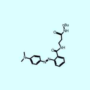 CCCCNC(=O)CCNC(=O)c1ccccc1N=Nc1ccc(N(C)C)cc1